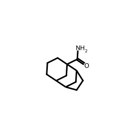 NC(=O)C12CCCC(C1)C1CCC2C1